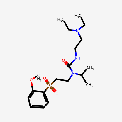 CCN(CC)CCNC(=O)N(CCS(=O)(=O)c1ccccc1OC)C(C)C